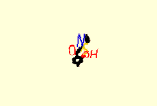 Cc1ccc(C(=O)c2nccs2)c(O)c1